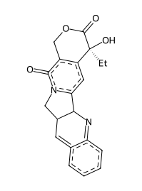 CC[C@@]1(O)C(=O)OCc2c1cc1n(c2=O)CC2C=c3ccccc3=NC12